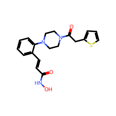 O=C(/C=C/c1ccccc1N1CCN(C(=O)Cc2cccs2)CC1)NO